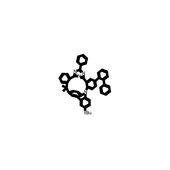 CC(C)(C)c1ccc2c(c1)c1cc3ccc1n2-c1ccc(-c2ccccc2-c2ccccc2)cc1-c1nc(-c2ccccc2)nc(n1)-c1ccccc1C3(C)C